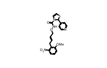 COc1cccc([N+](=O)[O-])c1CC=CCONC(=O)N1[C]=CSC1c1ccncc1